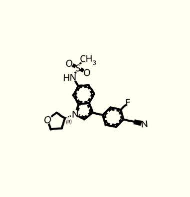 CS(=O)(=O)Nc1ccc2c(-c3ccc(C#N)c(F)c3)cn([C@@H]3CCOC3)c2c1